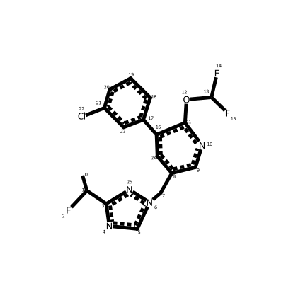 CC(F)c1ncn(Cc2cnc(OC(F)F)c(-c3cccc(Cl)c3)c2)n1